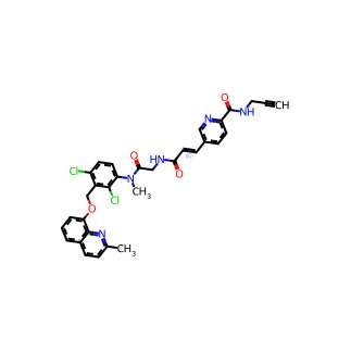 C#CCNC(=O)c1ccc(/C=C/C(=O)NCC(=O)N(C)c2ccc(Cl)c(COc3cccc4ccc(C)nc34)c2Cl)cn1